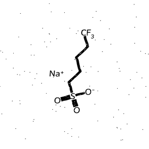 O=S(=O)([O-])CCCCC(F)(F)F.[Na+]